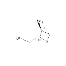 C[C@H]1CO[C@@H]1CBr